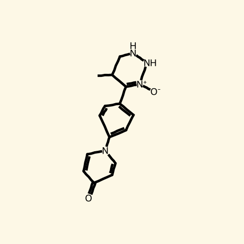 CC1CNN[N+]([O-])=C1c1ccc(-n2ccc(=O)cc2)cc1